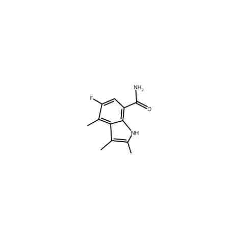 Cc1[nH]c2c(C(N)=O)cc(F)c(C)c2c1C